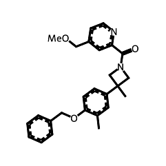 COCc1ccnc(C(=O)N2CC(C)(c3ccc(OCc4ccccc4)c(C)c3)C2)c1